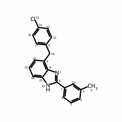 Cc1cccc(-c2nc3c(Cc4ccc(Cl)cc4)cccc3[nH]2)c1